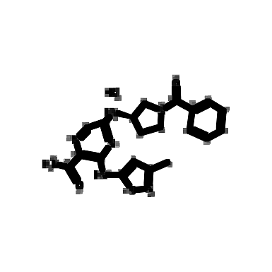 Cc1cc(Nc2nc(N[C@@H]3CCN(C(=O)c4ccccc4)C3)cnc2C(N)=O)sn1.Cl